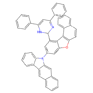 C1=C(c2ccccc2)NC(c2cc(-n3c4ccccc4c4cc5ccccc5cc43)cc3oc4ccc5ccccc5c4c23)N=C1c1ccccc1